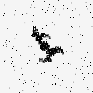 COc1cc(CNc2ncnc3c2ncn3[C@@H]2O[C@H](COC(C)=O)[C@@H]3OC(C)(C)OC32)ccc1OC(C)=O